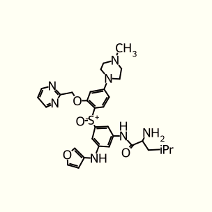 CC(C)CC(N)C(=O)Nc1cc(Nc2ccoc2)cc([S+]([O-])c2ccc(N3CCN(C)CC3)cc2OCc2ncccn2)c1